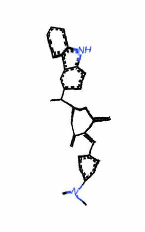 C=C1CC(C(C)c2ccc3[nH]c4ccccc4c3c2)CC(=C)C1=Cc1ccc(N(C)C)cc1